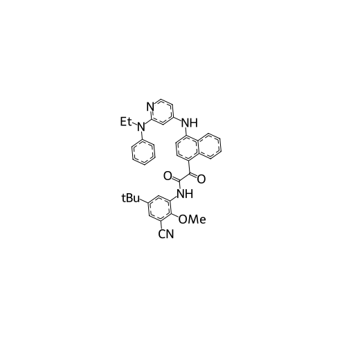 CCN(c1ccccc1)c1cc(Nc2ccc(C(=O)C(=O)Nc3cc(C(C)(C)C)cc(C#N)c3OC)c3ccccc23)ccn1